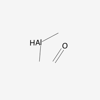 C=O.[CH3][AlH][CH3]